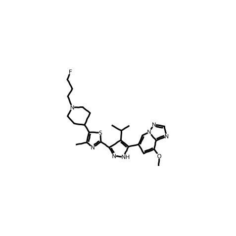 COc1cc(-c2[nH]nc(-c3nc(C)c(C4CCN(CCCF)CC4)s3)c2C(C)C)cn2ncnc12